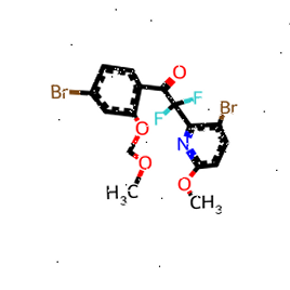 COCOc1cc(Br)ccc1C(=O)C(F)(F)c1nc(OC)ccc1Br